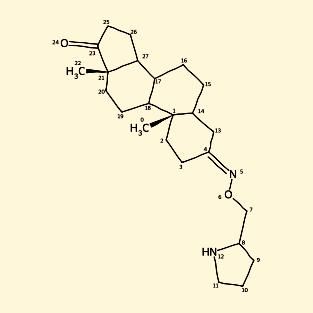 C[C@]12CCC(=NOCC3CCCN3)CC1CCC1C2CC[C@]2(C)C(=O)CCC12